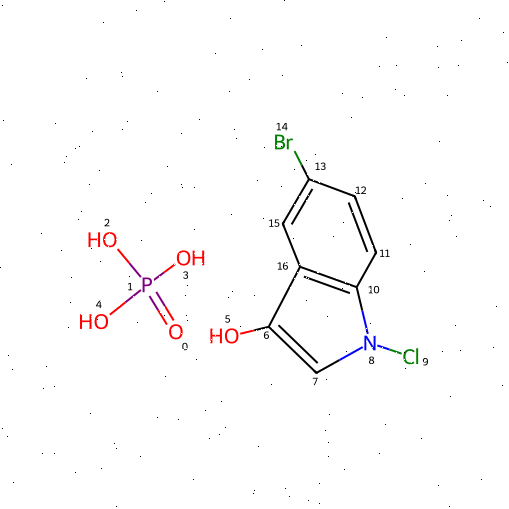 O=P(O)(O)O.Oc1cn(Cl)c2ccc(Br)cc12